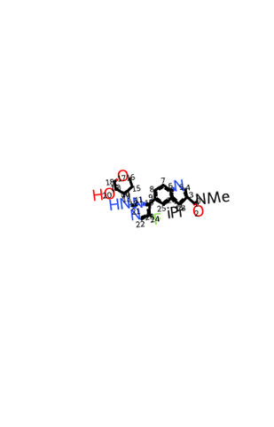 CNC(=O)c1cnc2ccc(-c3nc(N[C@@H]4CCOC[C@H]4O)ncc3F)cc2c1C(C)C